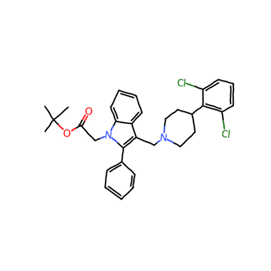 CC(C)(C)OC(=O)Cn1c(-c2ccccc2)c(CN2CCC(c3c(Cl)cccc3Cl)CC2)c2ccccc21